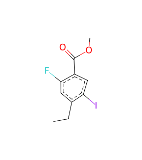 CCc1cc(F)c(C(=O)OC)cc1I